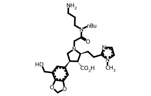 CCCCN(CCCN)C(=O)CN1C[C@H](c2cc(CO)c3c(c2)OCO3)[C@@H](C(=O)O)[C@@H]1CCc1nccn1C